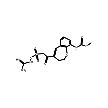 COC(=O)Nc1cccc2c1OCCC(C(=O)CS(=O)(=O)ONC(=N)N)=C2